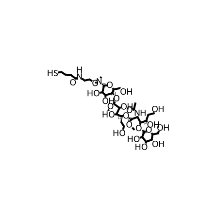 COC(O[C@@H]1C(CO)O[C@@H](N(C)OCCNC(=O)CCCS)C(O)C1O)C(O)C(O)[C@H](CCO)O[C@H](OC)C(NC(C)=O)C(O[C@@H]1OC(CO)C(O)C(O)C1O)[C@@H](O)CCO